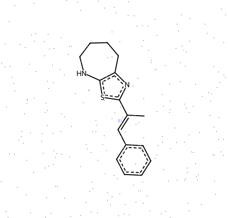 C/C(=C\c1ccccc1)c1nc2c(s1)NCCCC2